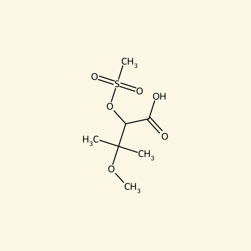 COC(C)(C)C(OS(C)(=O)=O)C(=O)O